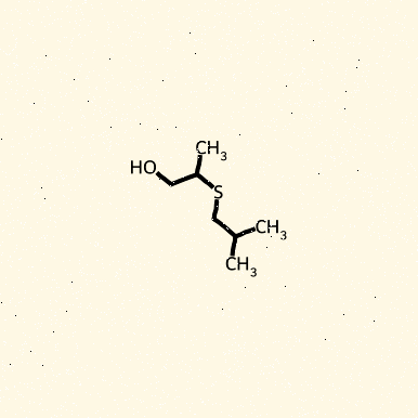 CC(C)CSC(C)CO